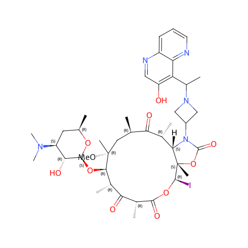 CO[C@]1(C)C[C@@H](C)C(=O)[C@H](C)[C@@H]2N(C3CN(C(C)c4c(O)cnc5cccnc45)C3)C(=O)O[C@]2(C)[C@@H](I)OC(=O)[C@H](C)C(=O)[C@H](C)[C@H]1O[C@@H]1O[C@H](C)C[C@H](N(C)C)[C@H]1O